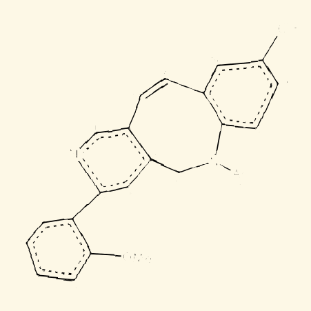 COc1ccccc1-c1cc2c(cn1)/C=C\c1cc(Cl)ccc1N(C(C)=O)C2